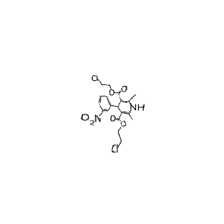 CC1=C(C(=O)OCCCl)C(c2cccc([N+](=O)[O-])c2)C(C(=O)OCCCl)=C(C)N1